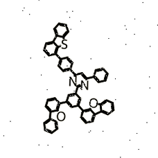 c1ccc(-c2cc(-c3ccc(-c4cccc5c4sc4ccccc45)cc3)nc(-c3cc(-c4cccc5c4oc4ccccc45)cc(-c4cccc5c4oc4ccccc45)c3)n2)cc1